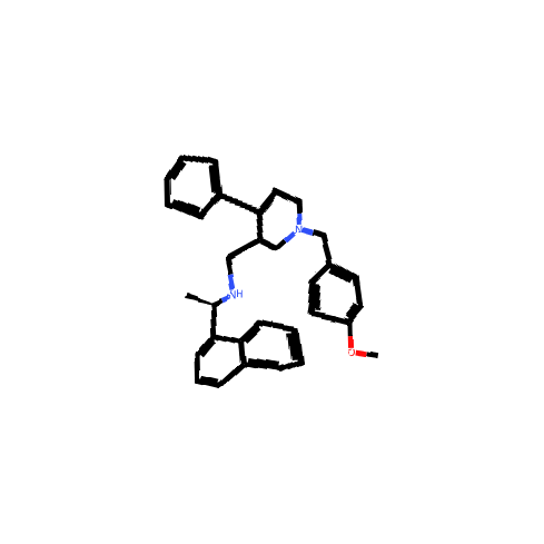 COc1ccc(CN2CCC(c3ccccc3)C(CN[C@H](C)c3cccc4ccccc34)C2)cc1